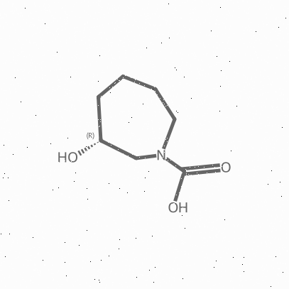 O=C(O)N1CCCC[C@@H](O)C1